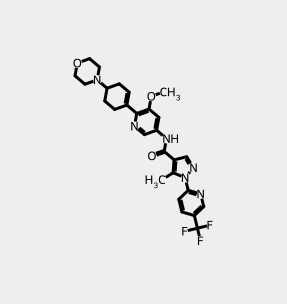 COc1cc(NC(=O)c2cnn(-c3ccc(C(F)(F)F)cn3)c2C)cnc1C1=CCC(N2CCOCC2)CC1